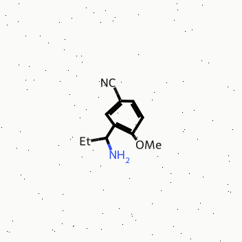 CCC(N)c1cc(C#N)ccc1OC